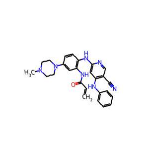 C=CC(=O)Nc1cc(N2CCN(C)CC2)ccc1Nc1cc(Nc2ccccc2)c(C#N)cn1